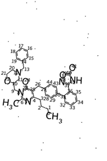 CCCCc1nc(C)n(CC2CN(Cc3ccccc3)CCO2)c(=O)c1Cc1ccc(-c2ccccc2-c2noc(=O)[nH]2)cc1